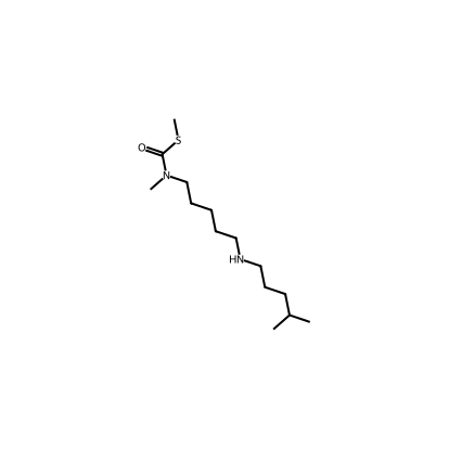 CSC(=O)N(C)CCCCCNCCCC(C)C